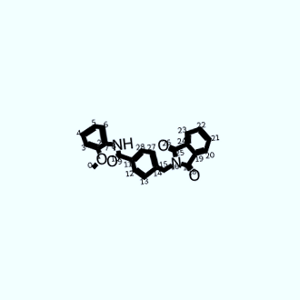 COc1ccccc1NC(=O)c1ccc(CN2C(=O)c3ccccc3C2=O)cc1